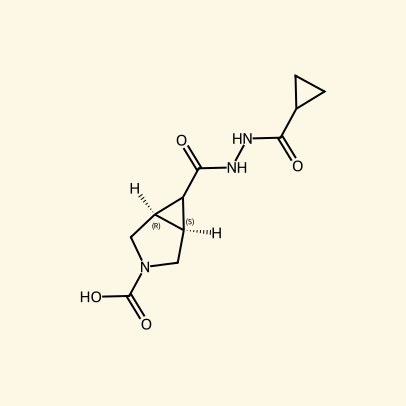 O=C(NNC(=O)C1[C@H]2CN(C(=O)O)C[C@@H]12)C1CC1